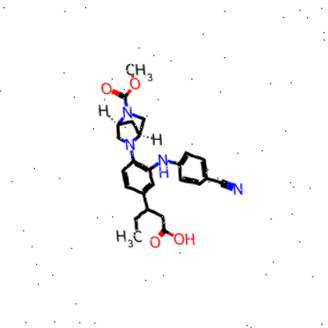 CCC(CC(=O)O)c1ccc(N2C[C@@H]3C[C@H]2CN3C(=O)OC)c(Nc2ccc(C#N)cc2)c1